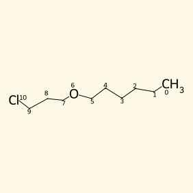 CCCCCCOCCCCl